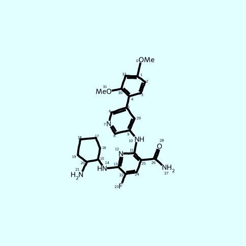 COc1ccc(-c2cncc(Nc3nc(NC4CCCCC4N)c(F)cc3C(N)=O)c2)c(OC)c1